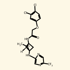 C[C@@H]1C2(NC(=O)COc3ccc(Cl)c(Cl)c3)CC1(Nc1cnc(C(F)(F)F)cn1)C2